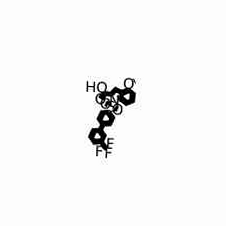 COc1cccc2c1CC(C(=O)O)N2S(=O)(=O)c1ccc(-c2cccc(C(F)(F)F)c2)cc1